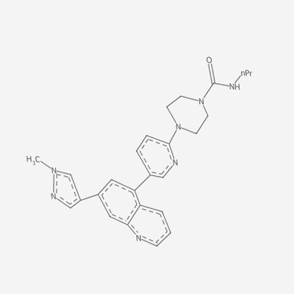 CCCNC(=O)N1CCN(c2ccc(-c3cc(-c4cnn(C)c4)cc4ncccc34)cn2)CC1